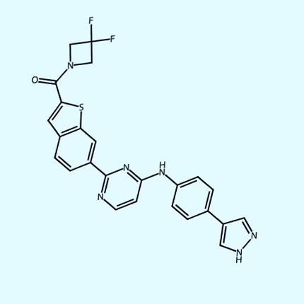 O=C(c1cc2ccc(-c3nccc(Nc4ccc(-c5cn[nH]c5)cc4)n3)cc2s1)N1CC(F)(F)C1